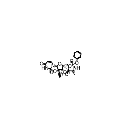 C#C[C@@]1(O)[C@H](O)[C@@H](COP(=O)(N[C@@H](C)C(=O)OC(C)C)Oc2ccccc2)O[C@@H]1n1ccc(=O)[nH]c1=O